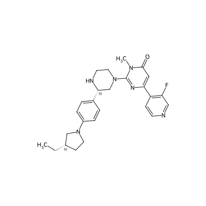 CC[C@H]1CCN(c2ccc([C@H]3CN(c4nc(-c5ccncc5F)cc(=O)n4C)CCN3)cc2)C1